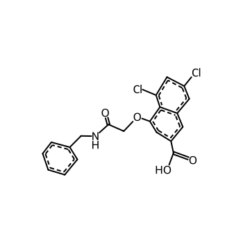 O=C(COc1cc(C(=O)O)cc2cc(Cl)cc(Cl)c12)NCc1ccccc1